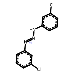 Clc1cccc(/N=N/Nc2cccc(Cl)c2)c1